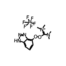 CN(C)C(OOc1cccc2[nH]nnc12)=[N+](C)C.F[P-](F)(F)(F)(F)F